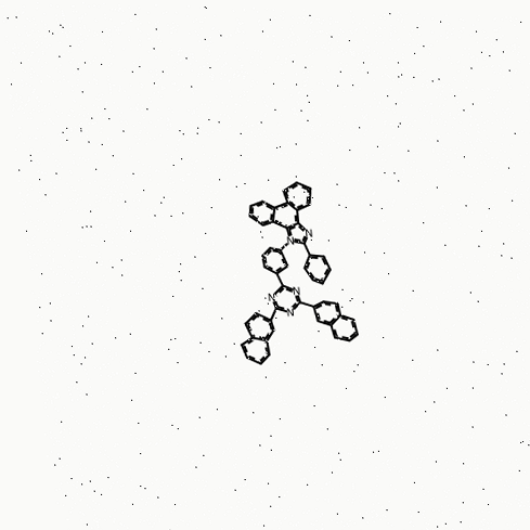 c1ccc(-c2nc3c4ccccc4c4ccccc4c3n2-c2cccc(-c3nc(-c4ccc5ccccc5c4)nc(-c4ccc5ccccc5c4)n3)c2)cc1